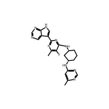 Cc1cc(N[C@@H]2CCC[C@H](Nc3nc(-c4c[nH]c5ncncc45)nc(C)c3F)C2)ncn1